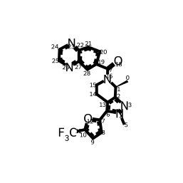 C[C@H]1c2nn(C)c(-c3ccc(C(F)(F)F)o3)c2CCN1C(=O)c1ccc2nccnc2c1